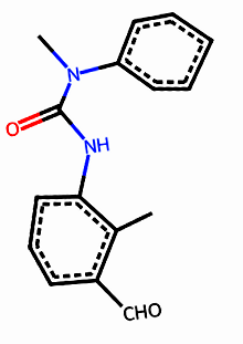 Cc1c(C=O)cccc1NC(=O)N(C)c1ccccc1